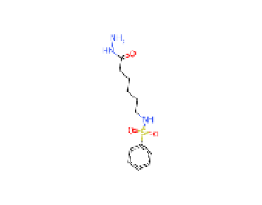 NNC(=O)CCCCCNS(=O)(=O)c1ccccc1